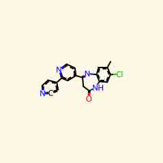 Cc1cc2c(cc1Cl)NC(=O)CC(c1ccnc(-c3ccncc3)c1)=N2